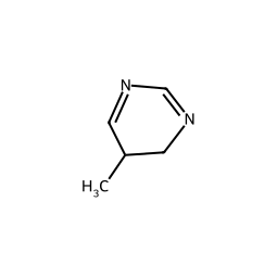 CC1C=NC=NC1